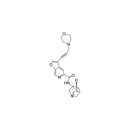 O=C(N[C@H]1CN2CCC1CC2)c1cc2c(C#CCN3CCOCC3)coc2cn1